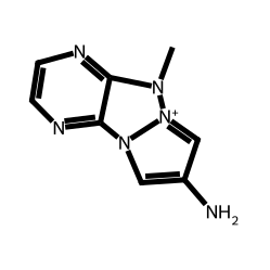 Cn1c2nccnc2n2cc(N)c[n+]12